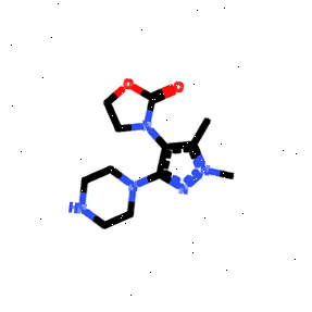 Cc1c(N2CCOC2=O)c(N2CCNCC2)nn1C